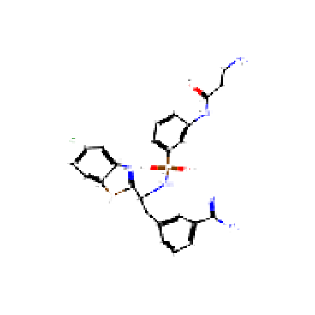 Cl.N=C(N)c1cccc(CC(NS(=O)(=O)c2cccc(NC(=O)CCN)c2)c2nc3ccccc3s2)c1